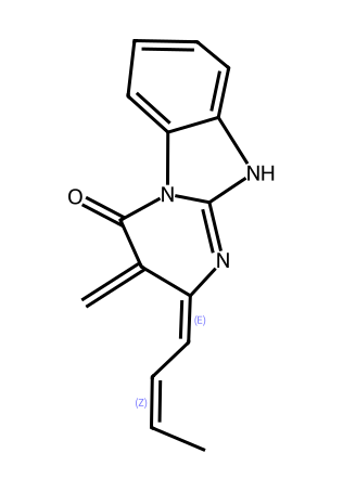 C=c1c(=O)n2c(n/c1=C/C=C\C)[nH]c1ccccc12